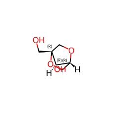 OC[C@]12CO[C@H]([CH]O1)[C@H]2O